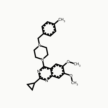 COc1cc2nc(C3CC3)nc(N3CCN(Cc4ccc(C)cc4)CC3)c2cc1OC